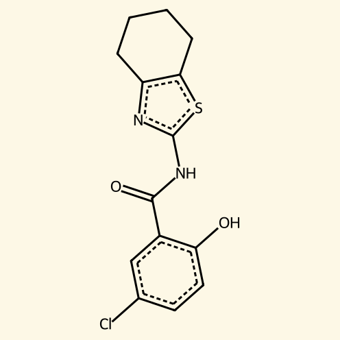 O=C(Nc1nc2c(s1)CCCC2)c1cc(Cl)ccc1O